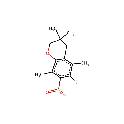 Cc1c(C)c([SH](=O)=O)c(C)c2c1CC(C)(C)CO2